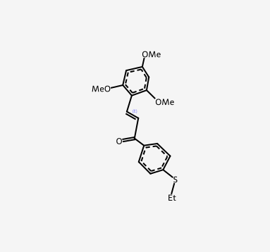 CCSc1ccc(C(=O)/C=C/c2c(OC)cc(OC)cc2OC)cc1